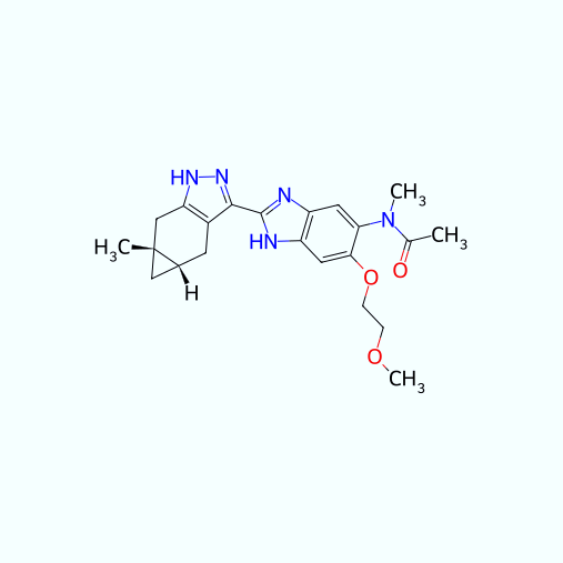 COCCOc1cc2[nH]c(-c3n[nH]c4c3C[C@@H]3C[C@]3(C)C4)nc2cc1N(C)C(C)=O